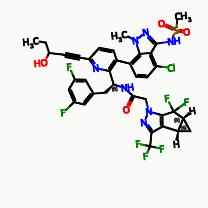 CCC(O)C#Cc1ccc(-c2ccc(Cl)c3c(NS(C)(=O)=O)nn(C)c23)c([C@H](Cc2cc(F)cc(F)c2)NC(=O)Cn2nc(C(F)(F)F)c3c2C(F)(F)[C@@H]2C[C@H]32)n1